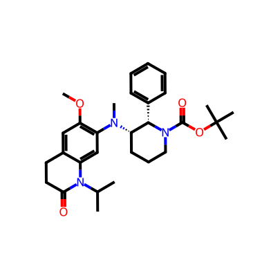 COc1cc2c(cc1N(C)[C@H]1CCCN(C(=O)OC(C)(C)C)[C@H]1c1ccccc1)N(C(C)C)C(=O)CC2